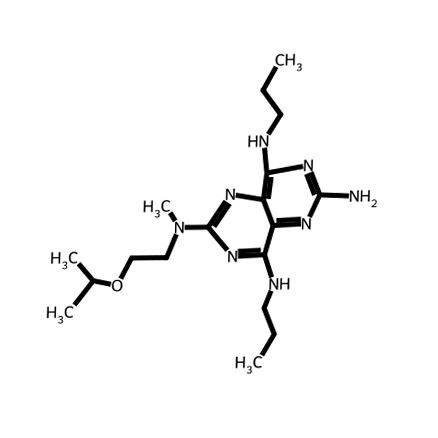 CCCNc1nc(N(C)CCOC(C)C)nc2c(NCCC)nc(N)nc12